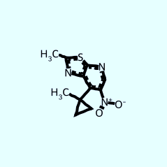 Cc1nc2c(C3(C)CC3)c([N+](=O)[O-])cnc2s1